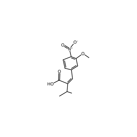 COc1cc(C=C(C(=O)O)C(C)C)ccc1[N+](=O)[O-]